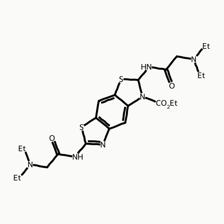 CCOC(=O)N1c2cc3nc(NC(=O)CN(CC)CC)sc3cc2SC1NC(=O)CN(CC)CC